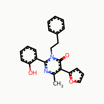 Cc1nc(-c2ccccc2O)n(CCc2ccccc2)c(=O)c1-c1ccco1